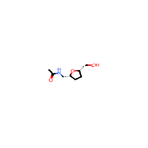 CC(=O)NC[C@H]1CC[C@@H](CO)O1